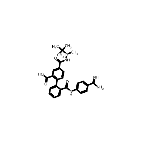 CN(NC(=O)c1ccc(-c2ccccc2C(=O)Nc2ccc(C(=N)N)cc2)c(C(=O)O)c1)C(C)(C)C